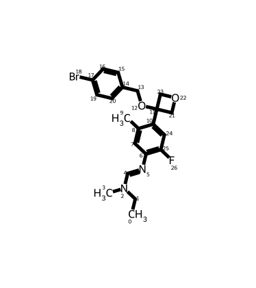 CCN(C)C=Nc1cc(C)c(C2(OCc3ccc(Br)cc3)COC2)cc1F